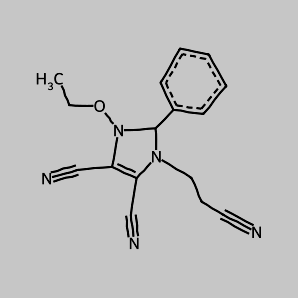 CCON1C(C#N)=C(C#N)N(CCC#N)C1c1ccccc1